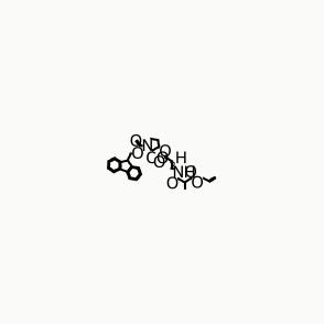 C=CCOC(=O)C(C)C(=O)NCCC(=O)OC1CCN(C(=O)OCC2c3ccccc3-c3ccccc32)[C@@H]1C(=O)O